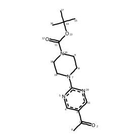 CC(=O)c1cnc(N2CCN(C(=O)OC(C)(C)C)CC2)nc1